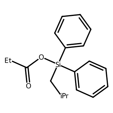 CCC(=O)O[Si](CC(C)C)(c1ccccc1)c1ccccc1